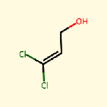 OCC=C(Cl)Cl